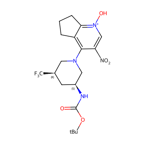 CC(C)(C)OC(=O)N[C@H]1C[C@@H](C(F)(F)F)CN(c2c([N+](=O)[O-])c[n+](O)c3c2CCC3)C1